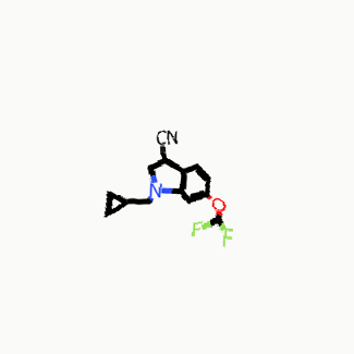 N#CC1CN(CC2CC2)c2cc(OC(F)F)ccc21